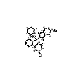 OC1(c2ccccc2-c2ccccc2)c2ccc(Cl)cc2Oc2c1oc1ccc(Br)cc21